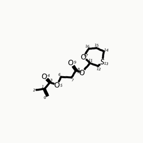 C=C(C)C(=O)OCCC(=O)OC1CSCCCO1